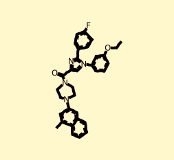 CCOc1cccc(-n2cc(C(=O)N3CCN(c4cc(C)c5ccccc5c4)CC3)nc2-c2ccc(F)cc2)c1